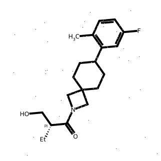 CC[C@H](CO)C(=O)N1CC2(CCC(c3cc(F)ccc3C)CC2)C1